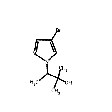 CC(n1cc(Br)cn1)C(C)(C)O